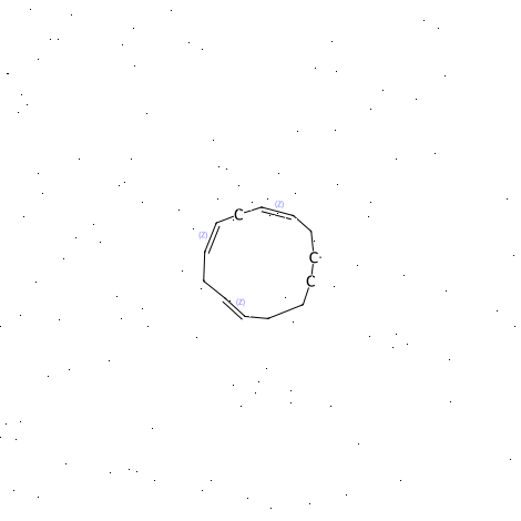 [CH]1C/C=C\C/C=C\C/C=C\CCC1